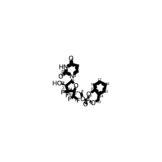 O=c1ccn([C@@H]2O[C@@](COP3(=O)OCc4ccccc4O3)(C(F)F)C(F)(F)[C@H]2O)c(=O)[nH]1